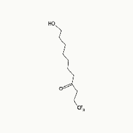 O=C(CCCCCCCO)CCC(F)(F)F